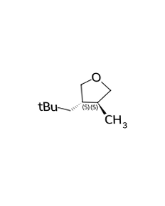 C[C@@H]1COC[C@H]1CC(C)(C)C